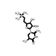 C=C1NC(=O)C(C)CN1[C@@H]1OC(CCP(=C)(C)C)[C@@H](O)[C@H]1O